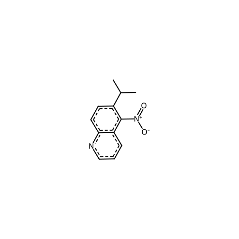 CC(C)c1ccc2ncccc2c1[N+](=O)[O-]